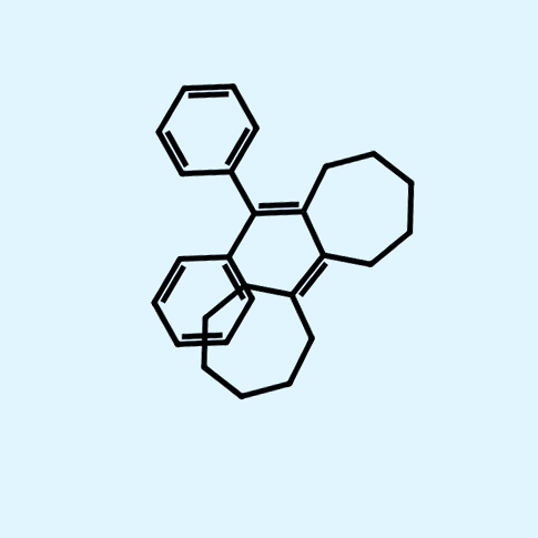 c1ccc(C(=C2CCCCCC2=C2CCCCCC2)c2ccccc2)cc1